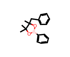 CC1(C)OB(c2ccccc2)OC1(C)Cc1ccccc1